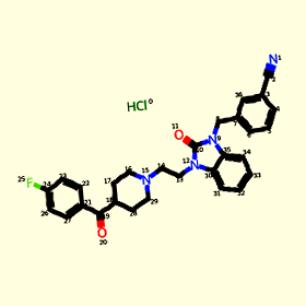 Cl.N#Cc1cccc(Cn2c(=O)n(CCN3CCC(C(=O)c4ccc(F)cc4)CC3)c3ccccc32)c1